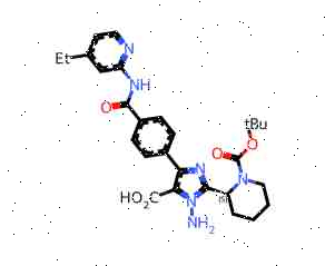 CCc1ccnc(NC(=O)c2ccc(-c3nc([C@@H]4CCCCN4C(=O)OC(C)(C)C)n(N)c3C(=O)O)cc2)c1